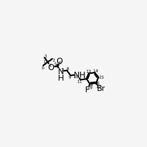 CC(C)(C)OC(=O)NCCNCc1cccc(Br)c1F